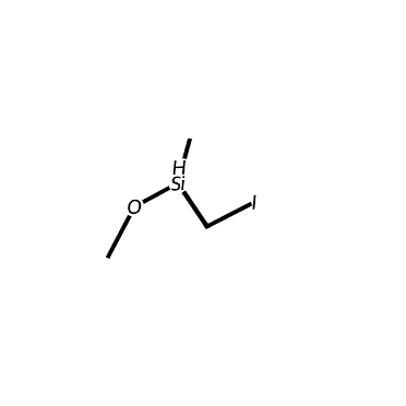 CO[SiH](C)CI